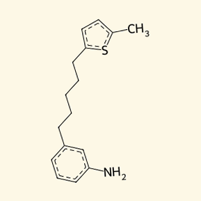 Cc1ccc(CCCCCc2cccc(N)c2)s1